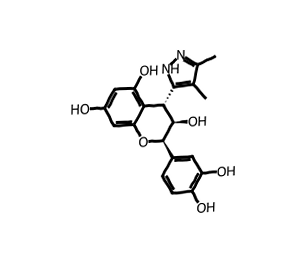 Cc1n[nH]c([C@H]2c3c(O)cc(O)cc3O[C@H](c3ccc(O)c(O)c3)[C@@H]2O)c1C